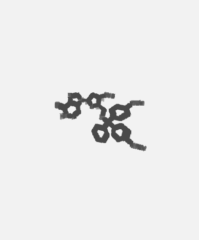 COc1ccc(C(OC[C@H]2O[C@@H](n3cnc4c(=O)[nH]ncc43)C[C@H]2O)(c2ccccc2)c2ccc(OC)cc2)cc1